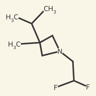 CC(C)C1(C)CN(CC(F)F)C1